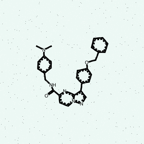 CN(C)c1ccc(CNC(=O)c2ccn3ncc(-c4ccc(OCc5ccccc5)cc4)c3n2)cc1